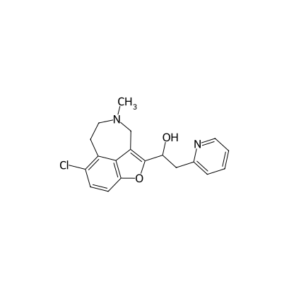 CN1CCc2c(Cl)ccc3oc(C(O)Cc4ccccn4)c(c23)C1